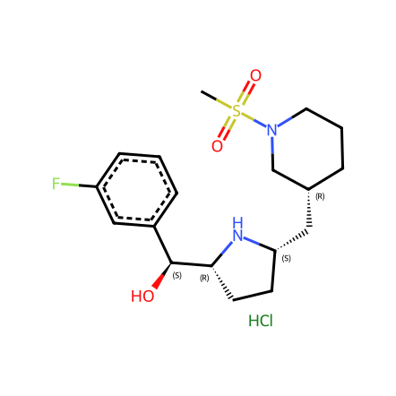 CS(=O)(=O)N1CCC[C@H](C[C@@H]2CC[C@H]([C@@H](O)c3cccc(F)c3)N2)C1.Cl